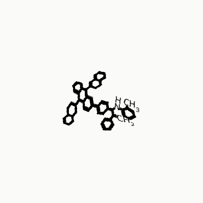 C=C(c1ccccc1)C(Nc1ccccc1C)C1C=CC(C2=CC3=C(C4=Cc5ccccc5CC4)c4ccccc4C(C4CCC5C=CCCC5C4)C3C=C2)=CC1